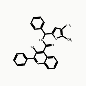 Cc1cc(C(NC(=O)c2c(O)c(-c3ccccc3)nc3ccccc23)c2ccccc2)oc1C